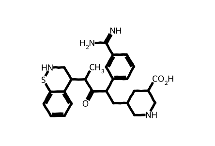 CC(C(=O)C(CC1CNCC(C(=O)O)C1)c1cccc(C(=N)N)c1)C1CNSc2ccccc21